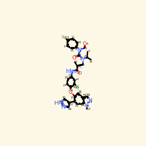 C/C(=C\N(C(=O)N(C=O)c1ccc(F)cc1)C(C)C)C(=O)Nc1ccc(Oc2cc3cnn(C)c3cc2-c2cn[nH]c2)c(F)c1